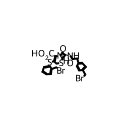 O=C(Cc1ccc(CBr)cc1)N[C@@H]1C(=O)N2C(C(=O)O)=C(Sc3ccccc3CBr)CS[C@@H]12